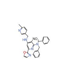 Cc1ccc(CNc2cc(-c3ncco3)nc(N(Cc3ccccc3)Cc3ccccc3)c2[N+](=O)[O-])cn1